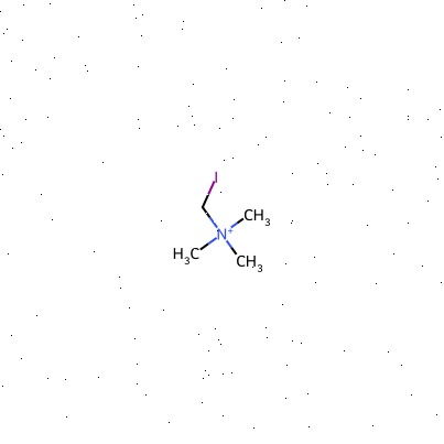 C[N+](C)(C)CI